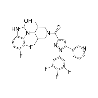 CC1CN(C(=O)c2cc(-c3cccnc3)n(-c3cc(F)c(F)c(F)c3)n2)CC(C)C1N1c2c(ccc(F)c2F)NC1O